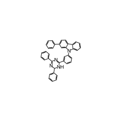 c1ccc(C2=NC(c3ccccc3)NC(c3cccc(-n4c5ccccc5c5ccc(-c6ccccc6)cc54)c3)=N2)cc1